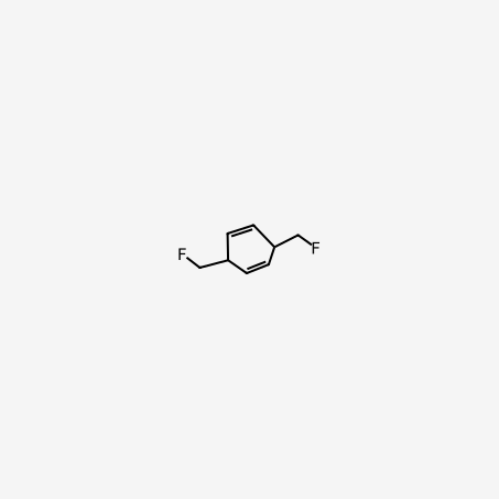 FCC1C=CC(CF)C=C1